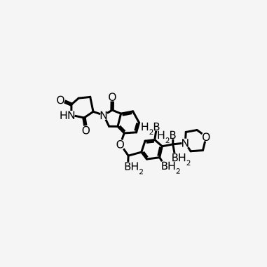 Bc1cc(C(B)Oc2cccc3c2CN(C2CCC(=O)NC2=O)C3=O)cc(B)c1C(B)(B)N1CCOCC1